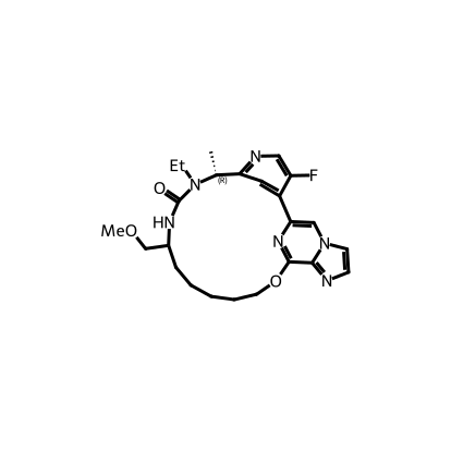 CCN1C(=O)NC(COC)CCCCCOc2nc(cn3ccnc23)-c2cc(ncc2F)[C@H]1C